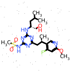 COc1cc(F)c([C@H](C)Cc2nc(N[C@@H](CO)CC(C)C)nc(NS(C)(=O)=O)n2)cn1